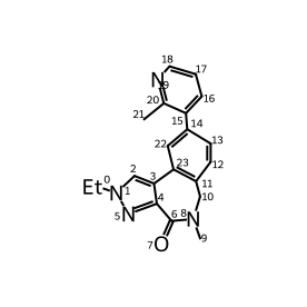 CCn1cc2c(n1)C(=O)N(C)Cc1ccc(-c3cccnc3C)cc1-2